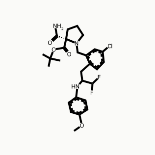 COc1ccc(NC(Cc2ccc(Cl)cc2CN2CCC[C@]2(C(N)=O)C(=O)OC(C)(C)C)C(F)F)cc1